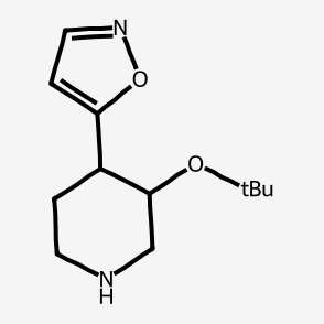 CC(C)(C)OC1CNCCC1c1ccno1